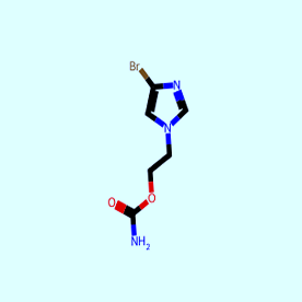 NC(=O)OCCn1cnc(Br)c1